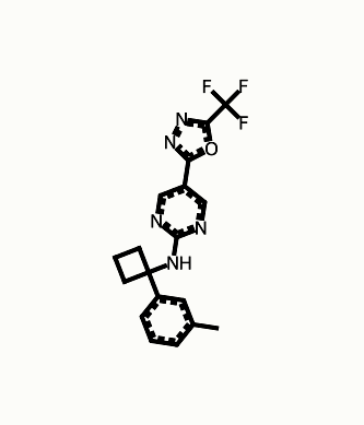 Cc1cccc(C2(Nc3ncc(-c4nnc(C(F)(F)F)o4)cn3)CCC2)c1